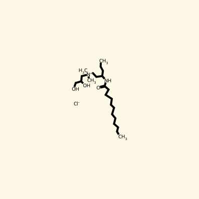 CCCCCCCCCCCC(=O)NC(CCC)CC[N+](C)(C)CC(O)CO.[Cl-]